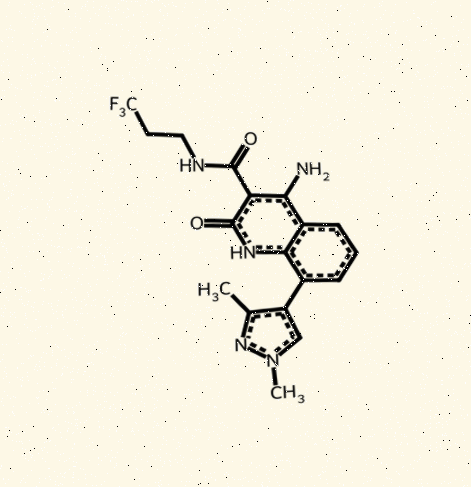 Cc1nn(C)cc1-c1cccc2c(N)c(C(=O)NCCC(F)(F)F)c(=O)[nH]c12